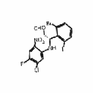 O=CC[C@@H](Nc1cc(Cl)c(F)cc1[N+](=O)[O-])c1c(F)cccc1Br